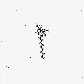 CCCCCCCCC=CC(=O)OC(O)C(C)(C)C